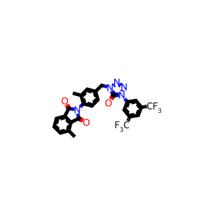 Cc1cc(Cn2nnn(-c3cc(C(F)(F)F)cc(C(F)(F)F)c3)c2=O)ccc1N1C(=O)c2cccc(C)c2C1=O